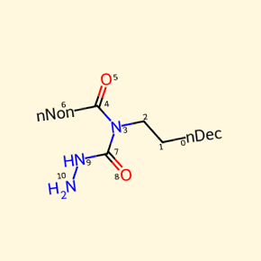 CCCCCCCCCCCCN(C(=O)CCCCCCCCC)C(=O)NN